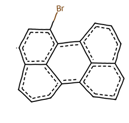 Brc1c[c]c2cccc3c4cccc5cccc(c1c23)c54